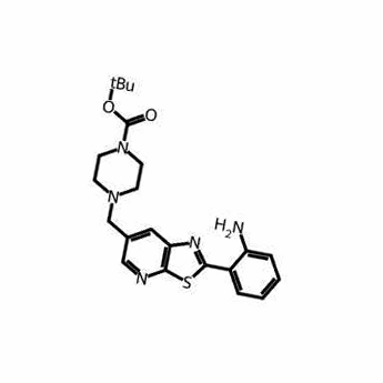 CC(C)(C)OC(=O)N1CCN(Cc2cnc3sc(-c4ccccc4N)nc3c2)CC1